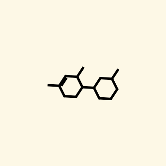 CC1=CC(C)C(C2CCCC(C)C2)CC1